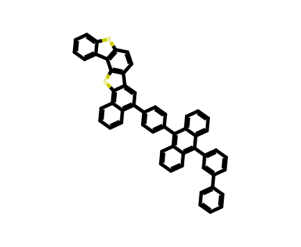 c1ccc(-c2cccc(-c3c4ccccc4c(-c4ccc(-c5cc6c7ccc8sc9ccccc9c8c7sc6c6ccccc56)cc4)c4ccccc34)c2)cc1